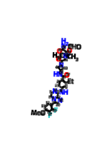 CCc1cc(Nc2nccn3c(-c4ccc(OC)c(F)c4F)cnc23)ccc1C(=O)NC1CN(C(=O)C[N+](C)(C)C(OC=O)C(N)=O)C1